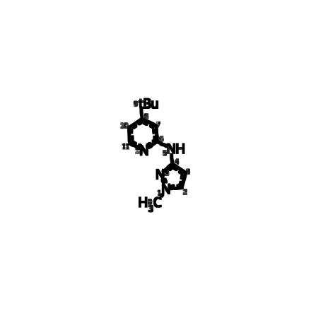 Cn1ccc(Nc2cc(C(C)(C)C)ccn2)n1